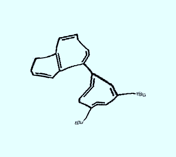 CC(C)(C)c1cc(-c2cccc3c2C=C[CH]3)cc(C(C)(C)C)c1